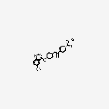 CC(C)(C)OC(=O)N1CCC(NCC2CCC(Oc3ncnc4ccc(C#N)cc34)CC2)CC1